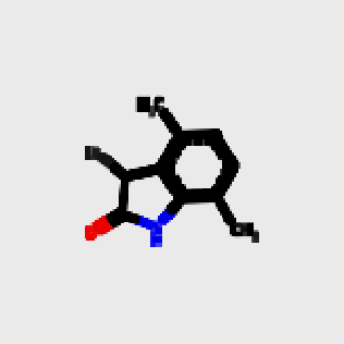 CCC1C(=O)Nc2c(C)ccc(C)c21